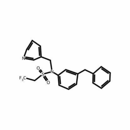 O=S(=O)(CC(F)(F)F)N(Cc1cccnc1)c1cccc(Cc2ccccc2)c1